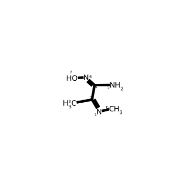 C/N=C(C)\C(N)=N/O